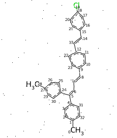 Cc1ccc(C(=C/C=C/c2ccc(/C=C/c3ccc(Cl)cc3)cc2)c2ccc(C)cc2)cc1